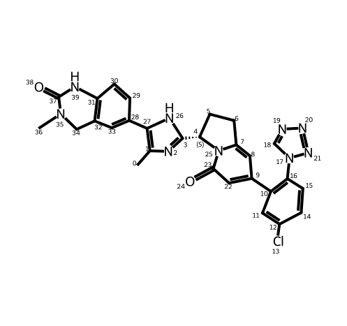 Cc1nc([C@@H]2CCc3cc(-c4cc(Cl)ccc4-n4cnnn4)cc(=O)n32)[nH]c1-c1ccc2c(c1)CN(C)C(=O)N2